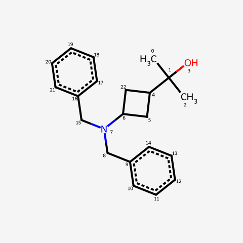 CC(C)(O)C1CC(N(Cc2ccccc2)Cc2ccccc2)C1